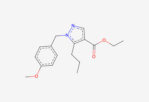 CCCc1c(C(=O)OCC)cnn1Cc1ccc(OC)cc1